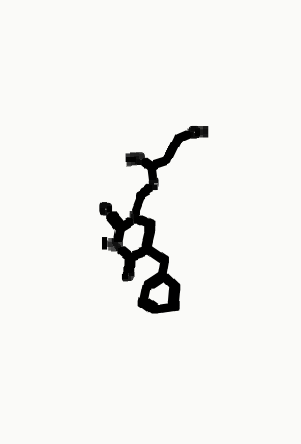 O=c1[nH]c(=O)n(COC(O)CCO)cc1Cc1ccccc1